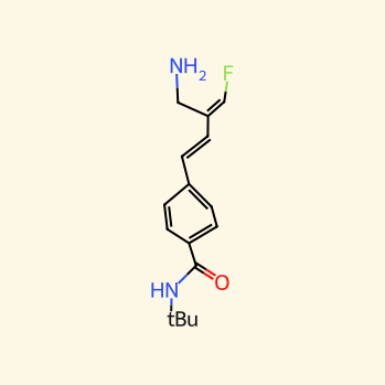 CC(C)(C)NC(=O)c1ccc(/C=C/C(=C/F)CN)cc1